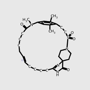 Cc1cc2cc(C)c1CCS(=O)(=O)N1CCC3(CC1)N=C(CCCC/C=C/CCCCC(=O)N2C)NC3=O